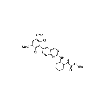 COc1cc(OC)c(Cl)c(-c2ccc3nc(NC4CCCC[C@@H]4NC(=O)OC(C)(C)C)ncc3c2)c1Cl